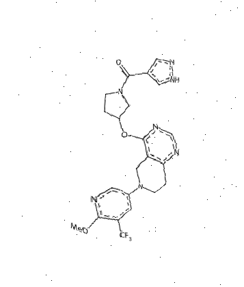 COc1ncc(N2CCc3ncnc(OC4CCN(C(=O)c5cn[nH]c5)C4)c3C2)cc1C(F)(F)F